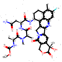 CC[C@@]1(O)C(=O)OCc2c1cc1n(c2=O)Cc2c-1nc1cc(F)c(C)c3c1c2[C@@H](NC(=O)[C@H](CC(N)=O)NC(=O)C(C)N(C)C(=O)[C@H](C)NC(=O)OC(C)(C)C)CC3